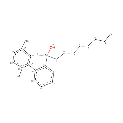 CCCCCCCCC(C)(O)c1ccccc1-c1cc(C)ccc1C